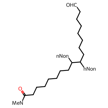 CCCCCCCCCC(CCCCCCCC=O)C(CCCCCCCCC)CCCCCCCC(=O)NC